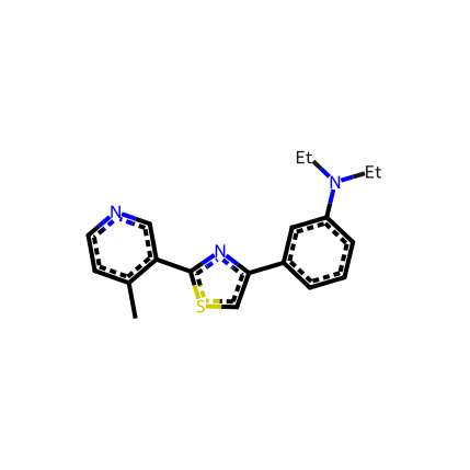 CCN(CC)c1cccc(-c2csc(-c3cnccc3C)n2)c1